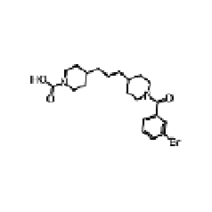 O=C(O)N1CCC(CCCC2CCN(C(=O)c3cccc(Br)c3)CC2)CC1